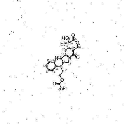 CCCC(=O)OCCc1c2c(nc3ccccc13)-c1cc3c(c(=O)n1C2)COC(=O)[C@]3(O)CC